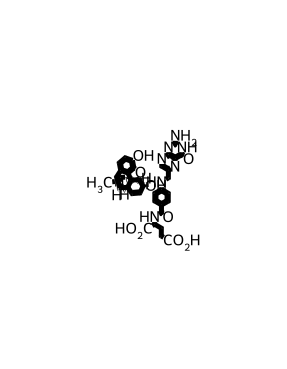 CN1CC[C@]23c4c5ccc(O)c4O[C@H]2[C@@H](O)C=C[C@H]3[C@H]1C5.Nc1nc2ncc(CNc3ccc(C(=O)NC(CCC(=O)O)C(=O)O)cc3)nc2c(=O)[nH]1